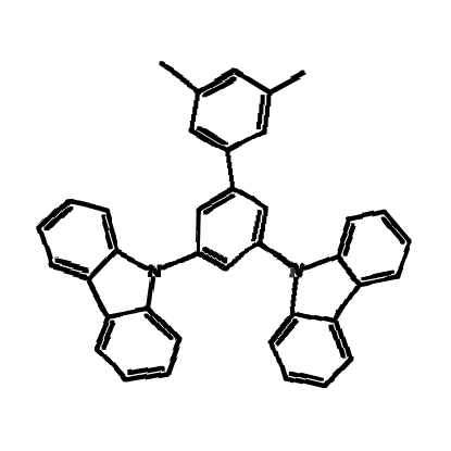 Cc1cc(C)cc(-c2cc(-n3c4ccccc4c4ccccc43)cc(-n3c4ccccc4c4ccccc43)c2)c1